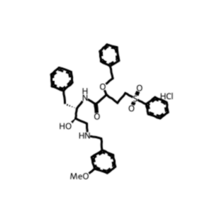 COc1cccc(CNC[C@@H](O)[C@H](Cc2ccccc2)NC(=O)C(CCS(=O)(=O)c2ccccc2)OCc2ccccc2)c1.Cl